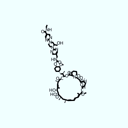 CCNC(=O)c1cnc(N2CCN(c3ncc(CNC(=O)O[C@@H]4CC[C@@H](C[C@@H](C)[C@@H]5CC(=O)[C@H](C)/C=C(\C)[C@@H](O)[C@@H](O)C(=O)[C@H](C)C[C@H](C)/C=C/C=C/C=C(\C)[C@@H](OC)C[C@@H]6CC[C@@H](C)[C@@](O)(O6)C(=O)C(=O)N6CCCC[C@H]6C(=O)O5)C[C@H]4OC)cn3)C(CO)C2)nc1